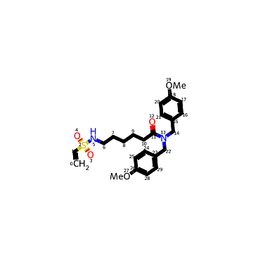 C=CS(=O)(=O)NCCCCCC(=O)N(Cc1ccc(OC)cc1)Cc1ccc(OC)cc1